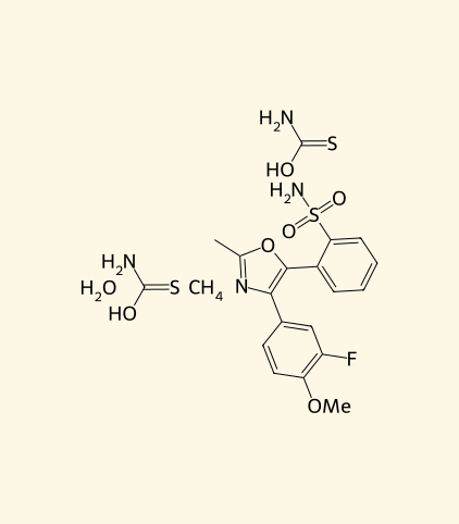 C.COc1ccc(-c2nc(C)oc2-c2ccccc2S(N)(=O)=O)cc1F.NC(O)=S.NC(O)=S.O